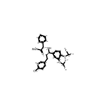 CNC(=O)[C@@H](N[C@H](CCc1ccc(Cl)nc1)c1ccc(OC(F)F)c(OC(F)F)c1)c1ccccc1